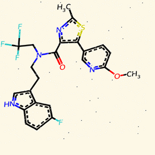 COc1ccc(-c2sc(C)nc2C(=O)N(CCc2c[nH]c3ccc(F)cc23)CC(F)(F)F)cn1